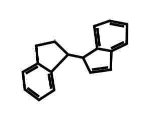 [CH]1Cc2ccccc2C1C1C=Cc2ccccc21